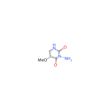 COc1c[nH]c(=O)n(N)c1=O